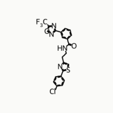 O=C(NCCc1csc(-c2ccc(Cl)cc2)n1)c1cccc(-c2noc(C(F)(F)F)n2)c1